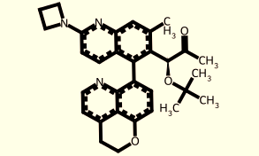 CC(=O)[C@@H](OC(C)(C)C)c1c(C)cc2nc(N3CCC3)ccc2c1-c1ccc2c3c(ccnc13)CCO2